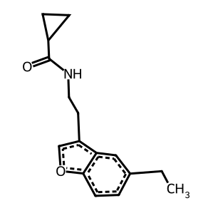 CCc1ccc2occ(CCNC(=O)C3CC3)c2c1